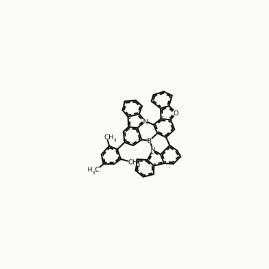 Cc1cc(C)c(-c2cc3c4c(c2)c2ccccc2n4-c2c4c(cc5oc6ccccc6c25)-c2cccc5c6ccccc6n(c25)B43)c(C)c1